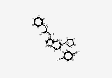 O=C(Nc1cnn2ccc(N3CCC[C@@H]3c3cc(F)ccc3F)nc12)Oc1ccccc1